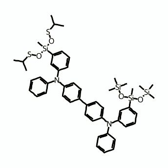 CC(C)SO[Si](C)(OSC(C)C)c1cccc(N(c2ccccc2)c2ccc(-c3ccc(N(c4ccccc4)c4cccc([Si](C)(O[Si](C)(C)C)O[Si](C)(C)C)c4)cc3)cc2)c1